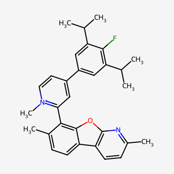 Cc1ccc2c(n1)oc1c(-c3cc(-c4cc(C(C)C)c(F)c(C(C)C)c4)cc[n+]3C)c(C)ccc12